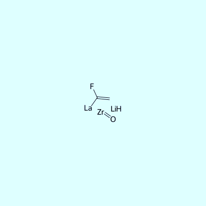 C=[C](F)[La].[LiH].[O]=[Zr]